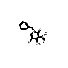 Cc1c(Br)cn(Cc2ccccc2)c(=O)c1[N+](=O)[O-]